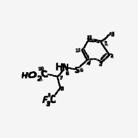 Cc1ccc(SNC(CC(F)(F)F)C(=O)O)cc1